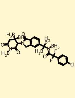 BN1C(=O)CC(B)(B)C(N2Cc3cc(C(B)(B)N(B)C(=O)C(F)(F)c4ccc(Cl)cc4)ccc3C2=O)C1=O